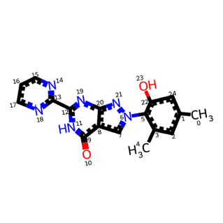 Cc1cc(C)c(-n2cc3c(=O)[nH]c(-c4ncccn4)nc3n2)c(O)c1